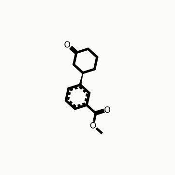 COC(=O)c1cccc([C@@H]2CCCC(=O)C2)c1